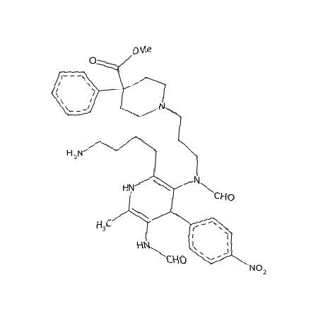 COC(=O)C1(c2ccccc2)CCN(CCCN(C=O)C2=C(CCCCN)NC(C)=C(NC=O)C2c2ccc([N+](=O)[O-])cc2)CC1